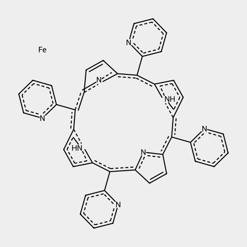 C1=Cc2nc1c(-c1ccccn1)c1ccc([nH]1)c(-c1ccccn1)c1nc(c(-c3ccccn3)c3ccc([nH]3)c2-c2ccccn2)C=C1.[Fe]